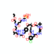 C=CCOC(=O)CCN(CCC(=O)N[C@H](C(=O)N[C@@H](C)C(=O)NCc1ccc([C@H]2O[C@@H]2[C@@H](C)[C@@H]2C/C=C/C(=O)NC(Cc3ccc(OC)c(Cl)c3)C(=O)N[C@@H](C)C(C)(C)C(=O)N[C@@H](CC(C)(C)C)C(=O)O2)cc1)C(C)C)C(=O)CCC(=O)NCCS(=O)(=O)O